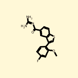 COc1cc(F)ccc1-c1csc2ccc(C(=O)N=C(N)N)cc12